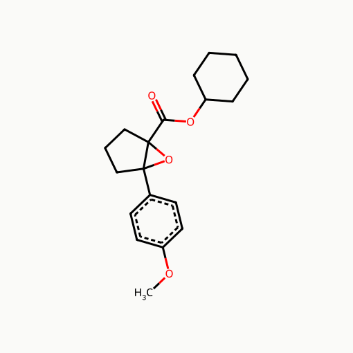 COc1ccc(C23CCCC2(C(=O)OC2CCCCC2)O3)cc1